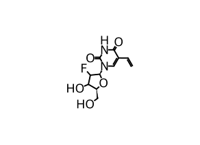 C=Cc1cn([C@H]2O[C@@H](CO)C(O)C2F)c(=O)[nH]c1=O